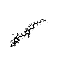 CCCCCC1CCC(c2ccc(CC/C=C(\C)c3ccc(C(F)(F)F)c(F)c3)c(F)c2)CC1